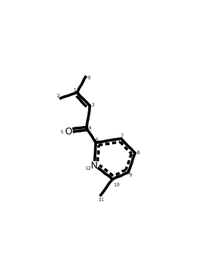 CC(C)=CC(=O)c1cccc(C)n1